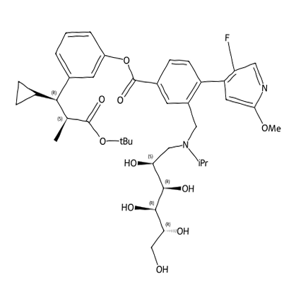 COc1cc(-c2ccc(C(=O)Oc3cccc([C@H](C4CC4)[C@H](C)C(=O)OC(C)(C)C)c3)cc2CN(C[C@H](O)[C@@H](O)[C@H](O)[C@H](O)CO)C(C)C)c(F)cn1